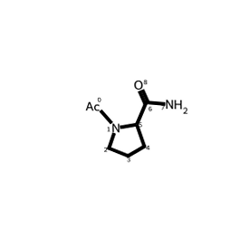 [CH2]C(=O)N1CCCC1C(N)=O